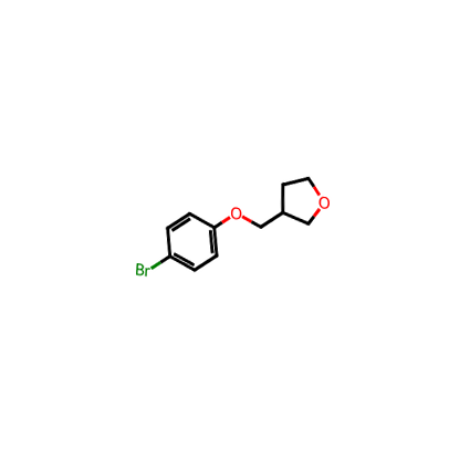 Brc1ccc(OCC2CCOC2)cc1